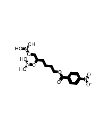 O=C(OCCCCC(CON(O)O)ON(O)O)c1ccc([N+](=O)[O-])cc1